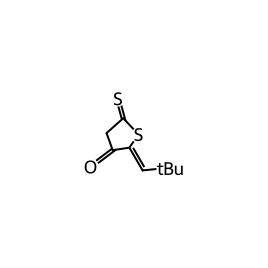 CC(C)(C)/C=C1\SC(=S)CC1=O